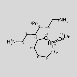 NCCCCCCN.O=[PH]1OCCCCO1.[La].[Pr]